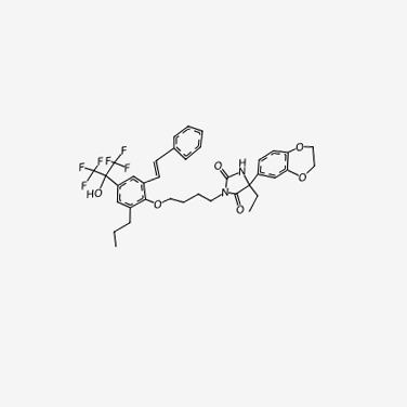 CCCc1cc(C(O)(C(F)(F)F)C(F)(F)F)cc(/C=C/c2ccccc2)c1OCCCCN1C(=O)NC(CC)(c2ccc3c(c2)OCCO3)C1=O